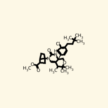 COC(=O)C1CC2(N3C=C4C(C)C(C)(C)OC[C@@]4(c4ccc(CCC(C)(C)C)c(Cl)c4)NC3=O)CCC12